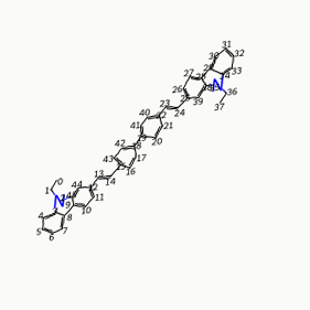 CCn1c2ccccc2c2ccc(C=Cc3ccc(-c4ccc(C=Cc5ccc6c7ccccc7n(CC)c6c5)cc4)cc3)cc21